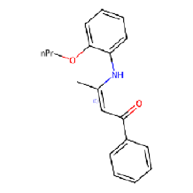 CCCOc1ccccc1N/C(C)=C\C(=O)c1ccccc1